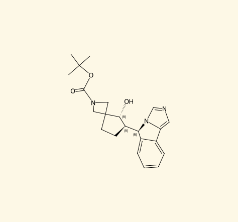 CC(C)(C)OC(=O)N1CC2(CC[C@H]([C@@H]3c4ccccc4-c4cncn43)[C@H]2O)C1